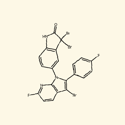 O=C1Nc2ccc(-n3c(-c4ccc(F)cc4)c(Br)c4ccc(F)nc43)cc2C1(Br)Br